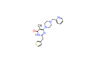 N#Cc1c(N2CCN(Cc3ccccn3)CC2)nc(Cc2ccsc2)[nH]c1=O